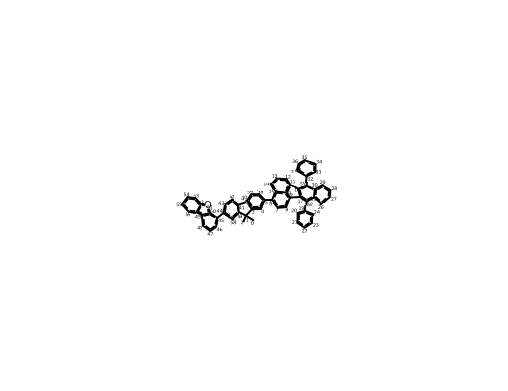 CC1(C)c2cc(-c3ccc4c5c(cccc35)-c3c-4c(-c4ccccc4)c4ccccc4c3-c3ccccc3)ccc2-c2ccc(-c3cccc4c3oc3ccccc34)cc21